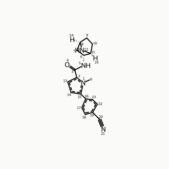 Cn1c(C(=O)N[C@@H]2C[C@H]3CC[C@@H]2N3)ccc1-c1ccc(C#N)cc1